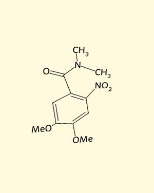 COc1cc(C(=O)N(C)C)c([N+](=O)[O-])cc1OC